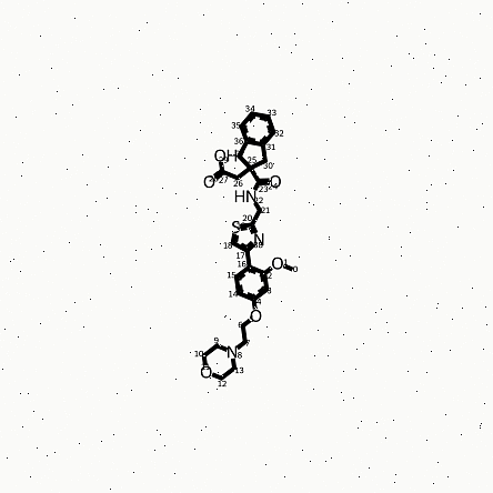 COc1cc(OCCN2CCOCC2)ccc1-c1csc(CNC(=O)C2(CC(=O)O)Cc3ccccc3C2)n1